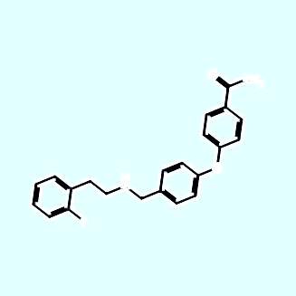 NC(=O)c1ccc(Oc2ccc(CNCCc3ccccc3F)cc2)cc1